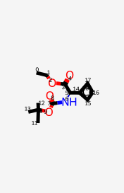 CCOC(=O)[C@@H](NC(=O)OC(C)(C)C)C12CC(C1)C2